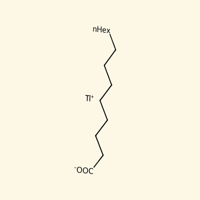 CCCCCCCCCCCCCC(=O)[O-].[Tl+]